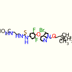 C[Si](C)(C)CCOCn1cc(Br)c2c(Oc3c(F)cc(NC(=S)NCCCNC(=O)O)cc3F)ccnc21